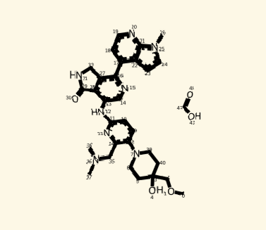 COCC1(O)CCN(c2ccc(Nc3cnc(-c4ccnc5c4ccn5C)c4c3C(=O)NC4)nc2CN(C)C)CC1.O=CO